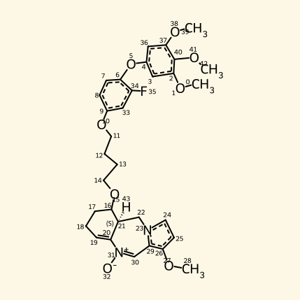 COc1cc(Oc2ccc(OCCCCOC3CCC=C4[C@@H]3Cn3ccc(OC)c3C=[N+]4[O-])cc2F)cc(OC)c1OC